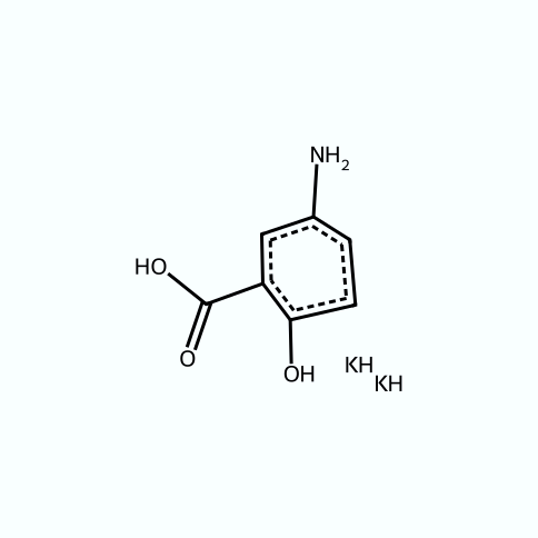 Nc1ccc(O)c(C(=O)O)c1.[KH].[KH]